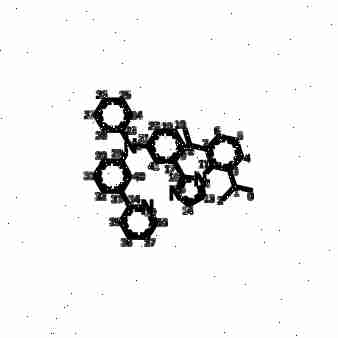 CC(C)c1cccc(C(C)C)c1-n1ccnc1-c1cccc(N(c2ccccc2)c2cccc(-c3ccccn3)c2)c1